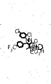 CC(NC(=O)O)c1c(C(=O)NN2CCCCC2)nn(-c2ccc(Cl)cc2Cl)c1-c1ccc(C(F)(F)F)cc1